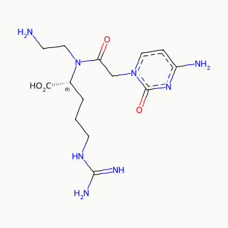 N=C(N)NCCC[C@H](C(=O)O)N(CCN)C(=O)Cn1ccc(N)nc1=O